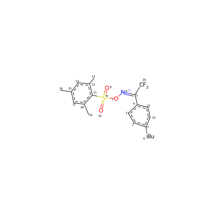 CCC(C)c1ccc(/C(=N\OS(=O)(=O)c2c(C)cc(C)cc2C)C(F)(F)F)cc1